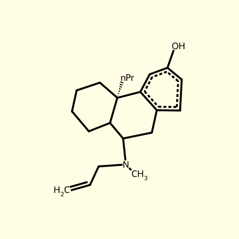 C=CCN(C)C1Cc2ccc(O)cc2[C@]2(CCC)CCCCC12